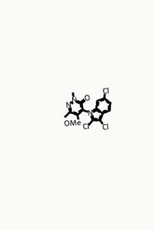 COc1c(C)nn(C)c(=O)c1-n1c(Cl)c(Cl)c2ccc(Cl)cc21